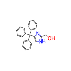 OCc1nc(C(c2ccccc2)(c2ccccc2)c2ccccc2)c[nH]1